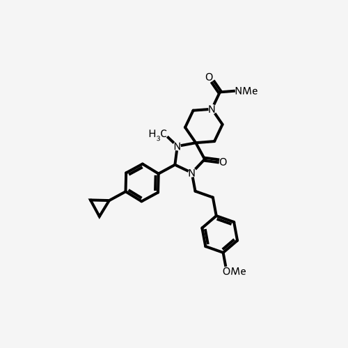 CNC(=O)N1CCC2(CC1)C(=O)N(CCc1ccc(OC)cc1)C(c1ccc(C3CC3)cc1)N2C